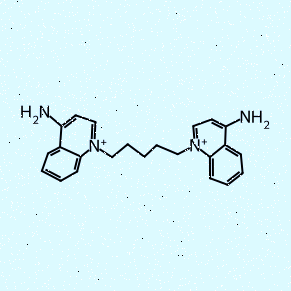 Nc1cc[n+](CCCCC[n+]2ccc(N)c3ccccc32)c2ccccc12